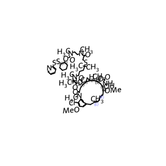 COc1cc2cc(c1Cl)N(C)C(=O)C[C@H](OC(=O)[C@H](C)N(C)C(=O)CCC(C)(C)SCC(=O)N(C)CCN(C)C(=O)O[C@H]1CCCC[C@@H]1SSc1ccccn1)[C@@]1(C)C[C@H]1[C@H](C)[C@@H]1C[C@@](O)(NC(=O)O1)[C@H](OC)/C=C/C=C(\C)C2